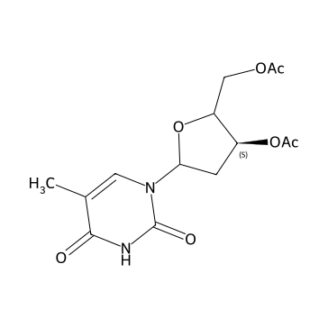 CC(=O)OCC1OC(n2cc(C)c(=O)[nH]c2=O)C[C@@H]1OC(C)=O